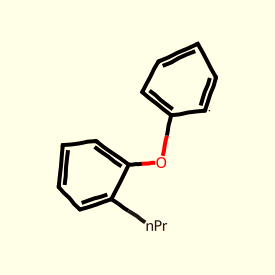 CCCc1ccccc1Oc1[c]cccc1